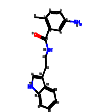 Cc1ccc(N)cc1C(=O)NCCc1c[nH]c2ccccc12